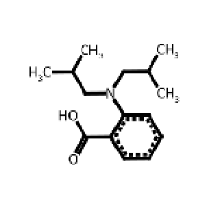 CC(C)CN(CC(C)C)c1ccccc1C(=O)O